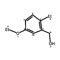 CCOc1ccc(CC)c(CO)c1